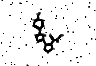 CC(C)NC(=O)C1=C(c2ncc(-c3ccc(Br)cc3)[nH]2)CCC1